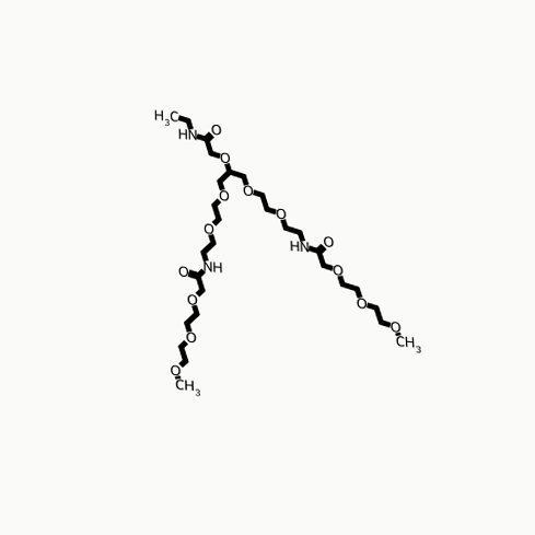 CCNC(=O)COC(COCCOCCNC(=O)COCCOCCOC)COCCOCCNC(=O)COCCOCCOC